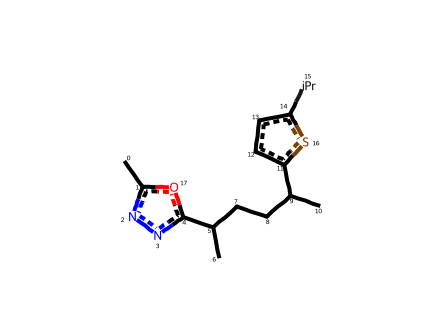 Cc1nnc(C(C)CCC(C)c2ccc(C(C)C)s2)o1